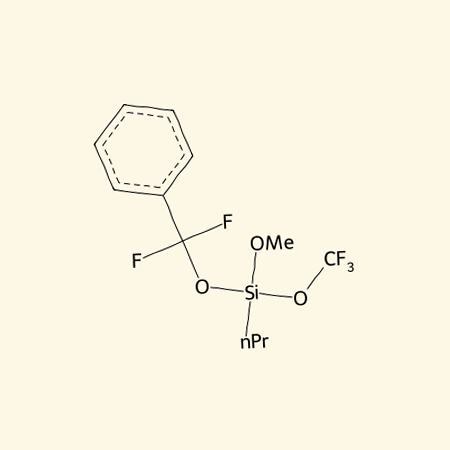 CCC[Si](OC)(OC(F)(F)F)OC(F)(F)c1ccccc1